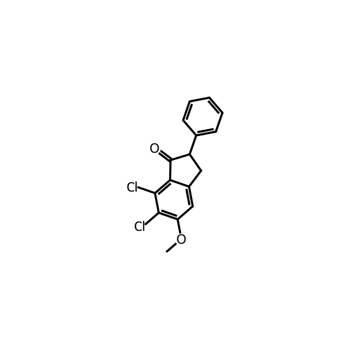 COc1cc2c(c(Cl)c1Cl)C(=O)C(c1ccccc1)C2